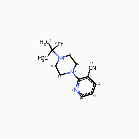 CCC(C)(C)N1CCN(c2ncccc2C#N)CC1